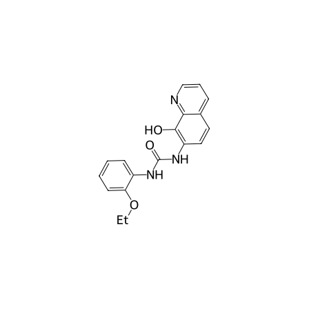 CCOc1ccccc1NC(=O)Nc1ccc2cccnc2c1O